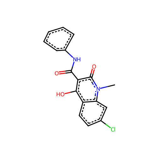 Cn1c(=O)c(C(=O)Nc2ccccc2)c(O)c2ccc(Cl)cc21